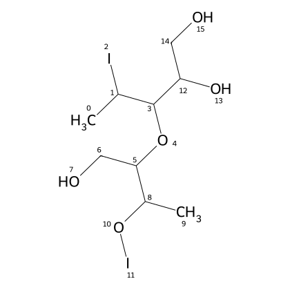 CC(I)C(OC(CO)C(C)OI)C(O)CO